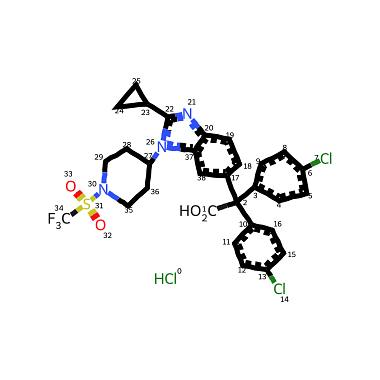 Cl.O=C(O)C(c1ccc(Cl)cc1)(c1ccc(Cl)cc1)c1ccc2nc(C3CC3)n(C3CCN(S(=O)(=O)C(F)(F)F)CC3)c2c1